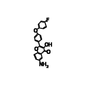 Nc1ccc2oc(-c3ccc(Oc4ccc(F)cc4)cc3)c(O)c(=O)c2c1